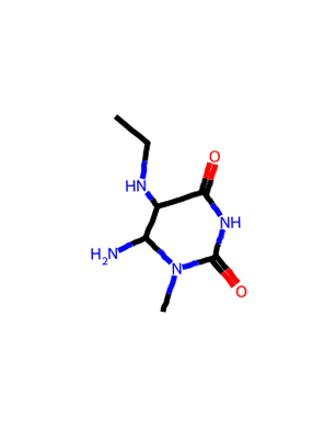 CCNC1C(=O)NC(=O)N(C)C1N